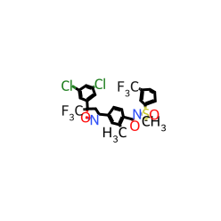 Cc1cc(C2=NOC(c3cc(Cl)cc(Cl)c3)(C(F)(F)F)C2)ccc1C(=O)N=S(C)(=O)c1cccc(C(F)(F)F)c1